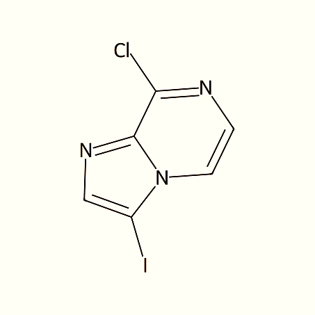 Clc1nccn2c(I)cnc12